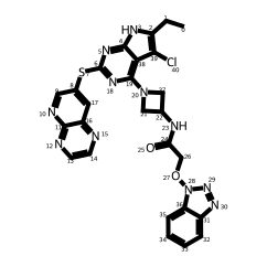 CCc1[nH]c2nc(Sc3cnc4nccnc4c3)nc(N3CC(NC(=O)COn4nnc5ccccc54)C3)c2c1Cl